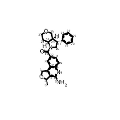 C[C@H]1OCc2c1c(N)nc1ccc(C(=O)N3C[C@@H](c4ccccc4)[C@H]4COCC[C@@H]43)cc21